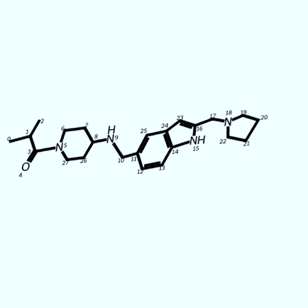 CC(C)C(=O)N1CCC(NCc2ccc3[nH]c(CN4CCCC4)cc3c2)CC1